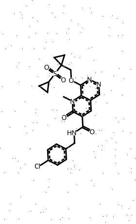 Cn1c(=O)c(C(=O)NCc2ccc(Cl)cc2)cc2cnnc(OCC3(S(=O)(=O)C4CC4)CC3)c21